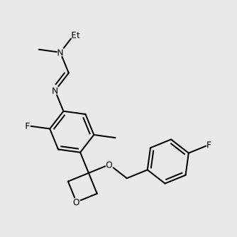 CCN(C)C=Nc1cc(C)c(C2(OCc3ccc(F)cc3)COC2)cc1F